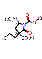 CCOC(=O)[C@@H]1C[C@](CCC#N)(C(=O)OCC)C(=O)N1C(=O)OC(C)(C)C